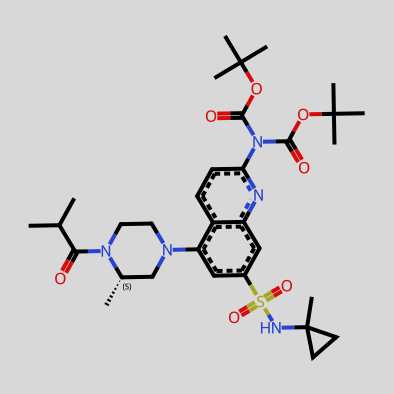 CC(C)C(=O)N1CCN(c2cc(S(=O)(=O)NC3(C)CC3)cc3nc(N(C(=O)OC(C)(C)C)C(=O)OC(C)(C)C)ccc23)C[C@@H]1C